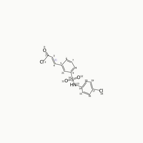 O=C(Cl)/C=C/c1cccc(S(=O)(=O)Nc2ccc(Cl)cc2)c1